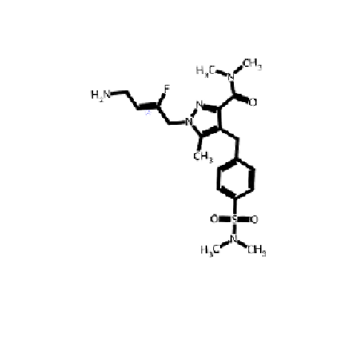 Cc1c(Cc2ccc(S(=O)(=O)N(C)C)cc2)c(C(=O)N(C)C)nn1C/C(F)=C/CN